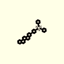 c1ccc(-c2nc(-c3ccccc3)nc(-c3ccc(-c4ccc5c(ccc6c5ccc5c7ccccc7ccc56)c4)cc3)n2)cc1